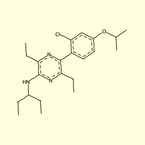 CCc1nc(-c2ccc(OC(C)C)cc2Cl)c(CC)nc1NC(CC)CC